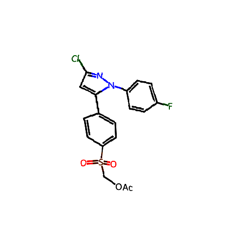 CC(=O)OCS(=O)(=O)c1ccc(-c2cc(Cl)nn2-c2ccc(F)cc2)cc1